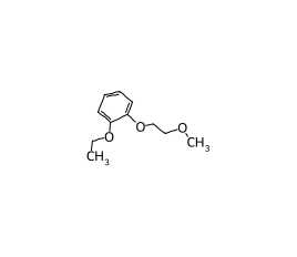 CCOc1ccccc1OCCOC